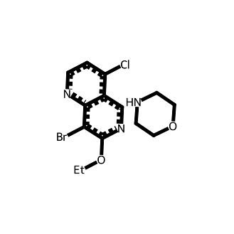 C1COCCN1.CCOc1ncc2c(Cl)ccnc2c1Br